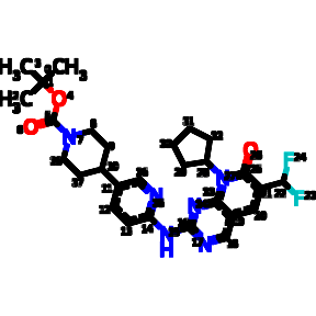 CC(C)(C)OC(=O)N1CCC(c2ccc(Nc3ncc4cc(C(F)F)c(=O)n(C5CCCC5)c4n3)nc2)CC1